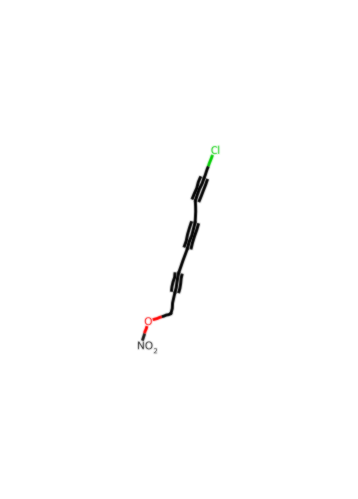 O=[N+]([O-])OCC#CC#CC#CCl